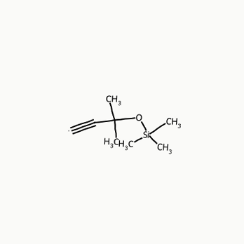 [C]#CC(C)(C)O[Si](C)(C)C